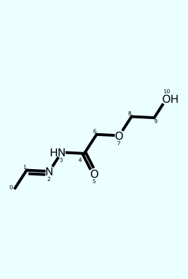 CC=NNC(=O)COCCO